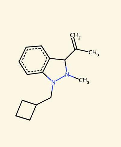 C=C(C)C1c2ccccc2N(CC2CCC2)N1C